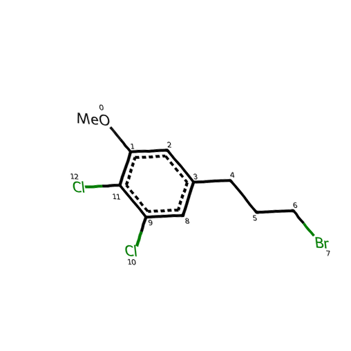 COc1cc(CCCBr)cc(Cl)c1Cl